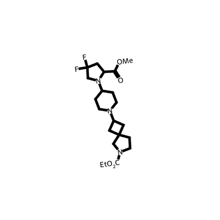 CCOC(=O)N1CCC2(CC(N3CCC(N4CC(F)(F)CC4C(=O)OC)CC3)C2)C1